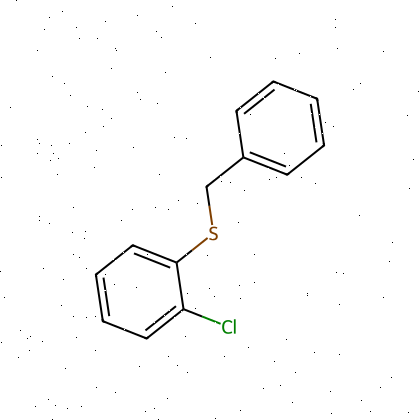 Clc1ccccc1SCc1ccccc1